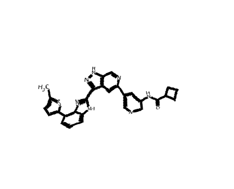 Cc1ccc(-c2cccc3[nH]c(-c4n[nH]c5cnc(-c6cncc(NC(=O)C7CCC7)c6)cc45)nc23)s1